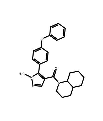 Cn1ncc(C(=O)N2CCCC3CCCCC32)c1-c1ccc(Oc2ccccc2)cc1